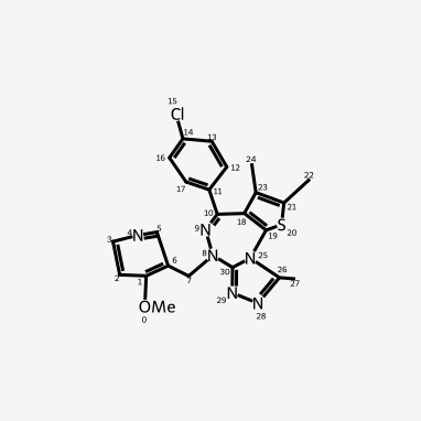 COc1ccncc1CN1N=C(c2ccc(Cl)cc2)c2c(sc(C)c2C)-n2c(C)nnc21